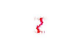 O=C(NCCOCCOCCNC(=O)c1cccc(-c2ccc(O[C@H]3O[C@H](CO)[C@@H](O)[C@H](O)[C@@H]3O)cc2)c1)c1cccc(-c2ccc(O[C@H]3O[C@H](CO)[C@@H](O)[C@H](O)[C@@H]3O)cc2)c1